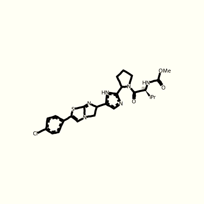 COC(=O)N[C@H](C(=O)N1CCCC1c1ncc(C2CN3C=C(c4ccc(Cl)cc4)SC3=N2)[nH]1)C(C)C